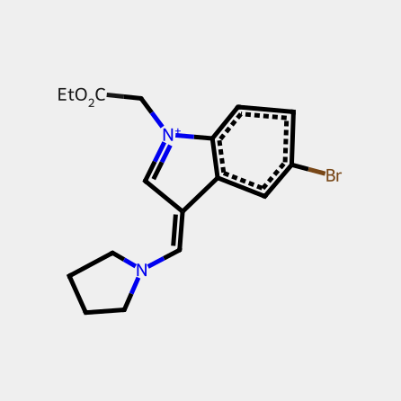 CCOC(=O)C[N+]1=C/C(=C\N2CCCC2)c2cc(Br)ccc21